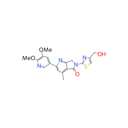 COc1cc(-c2cc(C)c3c(n2)CN(c2nc(CO)cs2)C3=O)cnc1OC